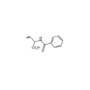 [CH2]CCC(NC(=O)c1ccccc1)C(=O)O